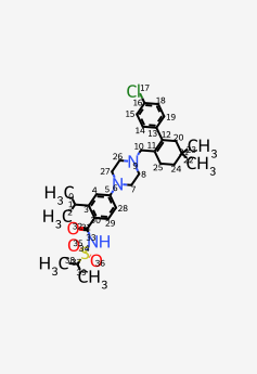 CC(C)c1cc(N2CCN(CC3=C(c4ccc(Cl)cc4)CC(C)(C)CC3)CC2)ccc1C(=O)NS(=O)(=O)C(C)C